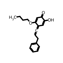 CCCCOC1=CC(=O)C(O)=CC1=C=CCc1ccccc1